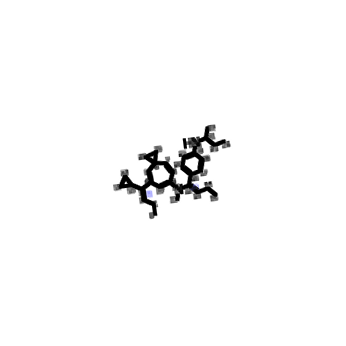 CC/C=C(\C1=CC2(C=CC(N(C)/C(=C/CC)c3ccc(NC(C)CC)cc3)=C1)CC2)C1CC1